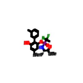 CCCCCc1cc(O)c(-c2cccc(C)c2)c(OP(=O)(N[C@@H](C)C(=O)OC)C(C)(F)F)c1